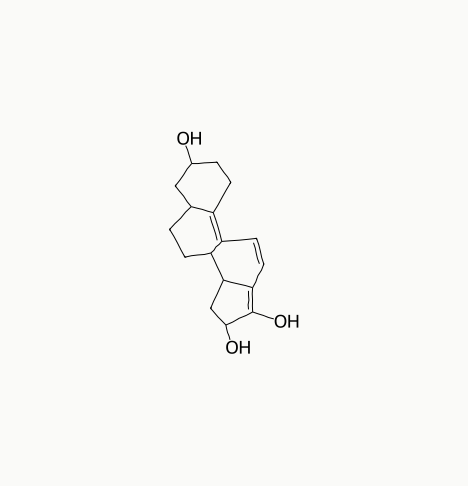 OC1=C2C=CC3=C4CCC(O)CC4CCC3C2CC1O